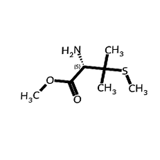 COC(=O)[C@H](N)C(C)(C)SC